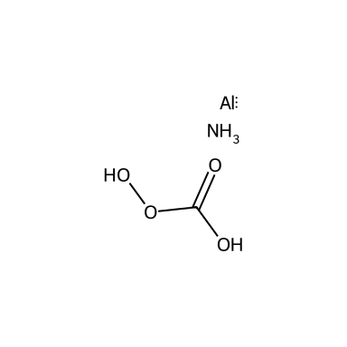 N.O=C(O)OO.[Al]